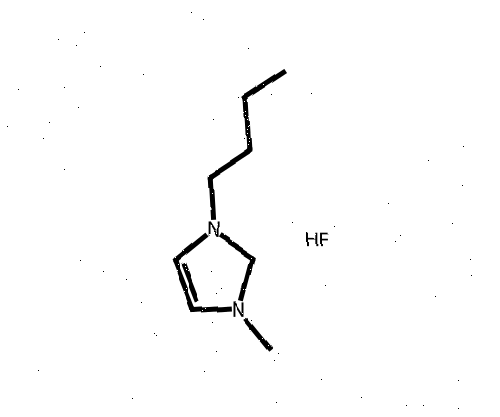 CCCCN1C=CN(C)C1.F